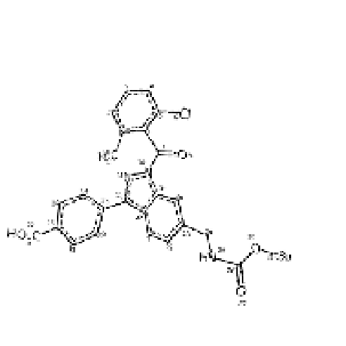 Cc1cccc(Cl)c1C(=O)n1nc(-c2ccc(C(=O)O)cc2)c2ccc(CNC(=O)OC(C)(C)C)cc21